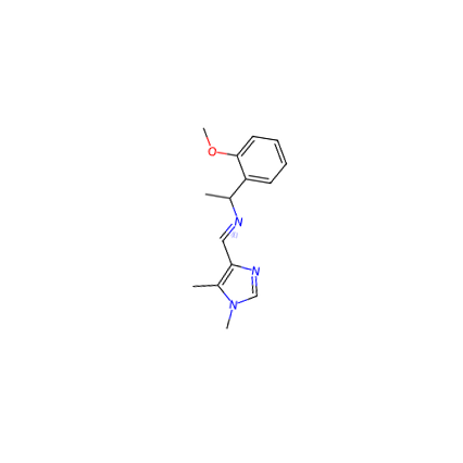 COc1ccccc1C(C)/N=C/c1ncn(C)c1C